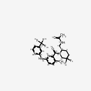 CC(=O)NC[C@H]1CCC(F)(F)CN1C(=O)c1nc(Nc2cc(C(F)(F)F)ccn2)ccc1C